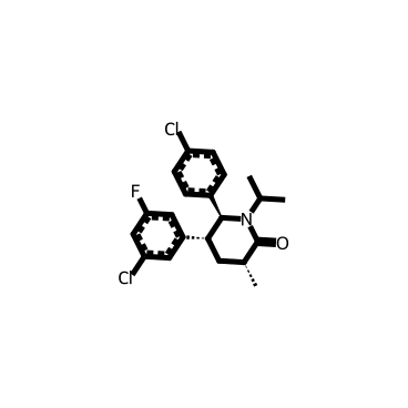 CC(C)N1C(=O)[C@H](C)C[C@H](c2cc(F)cc(Cl)c2)[C@H]1c1ccc(Cl)cc1